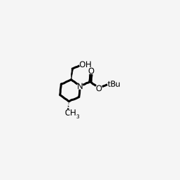 C[C@@H]1CC[C@@H](CO)N(C(=O)OC(C)(C)C)C1